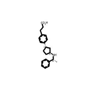 C[C@@H](N[C@H]1CC[C@H](c2ccc(CCC(=O)O)cc2)C1)c1ccccc1